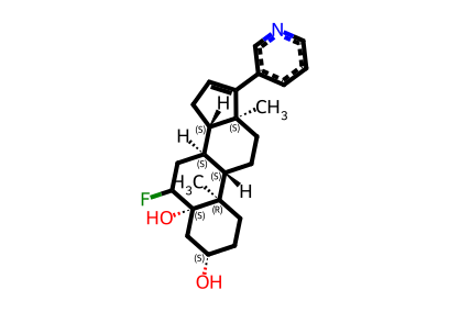 C[C@]12CC[C@H]3[C@@H](CC(F)[C@]4(O)C[C@@H](O)CC[C@]34C)[C@@H]1CC=C2c1cccnc1